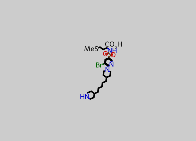 CSCCC(NS(=O)(=O)c1cnc(N2CCC(CCCCCC3CCNCC3)CC2)c(Br)c1)C(=O)O